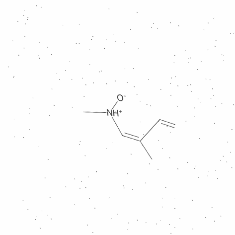 C=C/C(C)=C\[NH+](C)[O-]